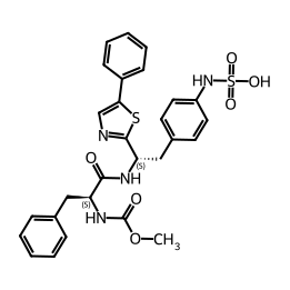 COC(=O)N[C@@H](Cc1ccccc1)C(=O)N[C@@H](Cc1ccc(NS(=O)(=O)O)cc1)c1ncc(-c2ccccc2)s1